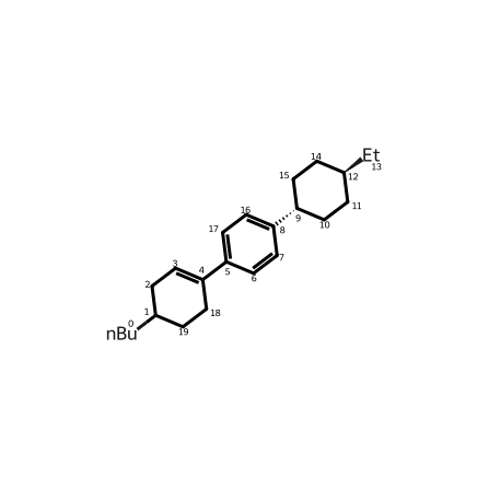 CCCCC1CC=C(c2ccc([C@H]3CC[C@H](CC)CC3)cc2)CC1